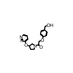 O=C(COc1ccc(CO)cc1)N1CCC(Oc2cccnn2)C1